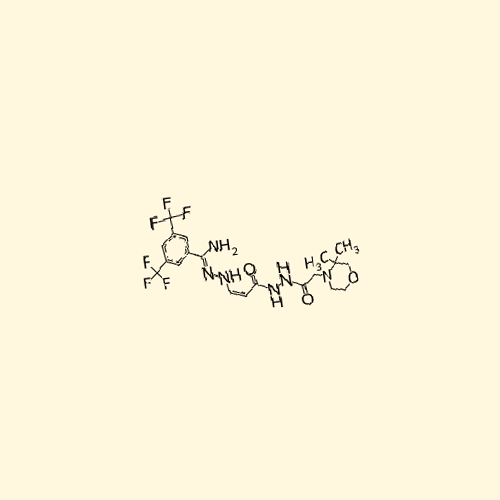 CC1(C)COCCN1CC(=O)NNC(=O)/C=C\N/N=C(\N)c1cc(C(F)(F)F)cc(C(F)(F)F)c1